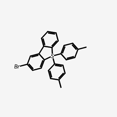 Cc1ccc(S2(c3ccc(C)cc3)c3ccccc3-c3cc(Br)ccc32)cc1